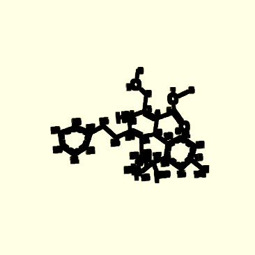 COCC1=C(C(=O)OC)C(c2ccc(F)cc2C(F)(F)F)C(C#N)=C(CCc2ccccc2)N1